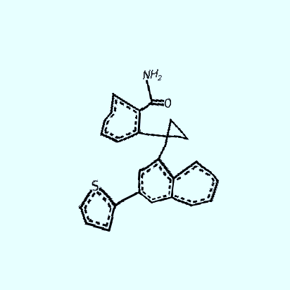 NC(=O)c1ccccc1C1(c2cc(-c3cccs3)cc3ccccc23)CC1